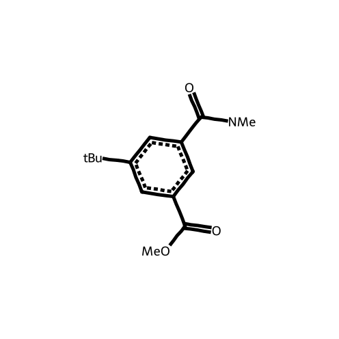 CNC(=O)c1cc(C(=O)OC)cc(C(C)(C)C)c1